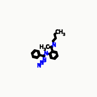 CCCC/N=C(\C)c1ccccc1/N=C(\N=[N+]=[N-])c1ccccc1